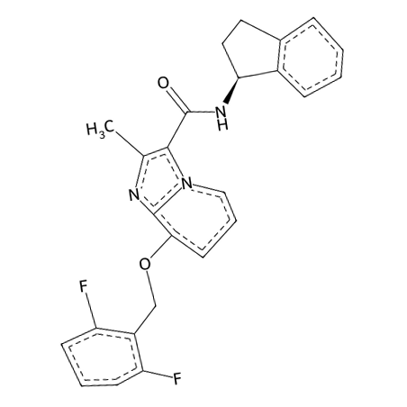 Cc1nc2c(OCc3c(F)cccc3F)cccn2c1C(=O)N[C@H]1CCc2ccccc21